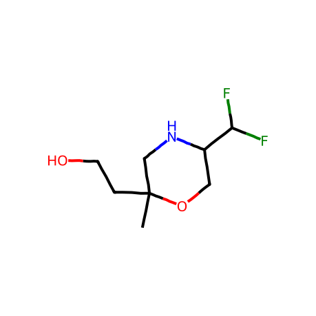 CC1(CCO)CNC(C(F)F)CO1